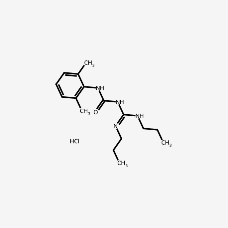 CCCN=C(NCCC)NC(=O)Nc1c(C)cccc1C.Cl